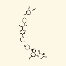 N#Cc1ccc(O[C@H]2CC[C@H](NC(=O)c3cnc(N4CCC(CN5CCC(n6ncc7c(N8CCC(=O)NC8=O)cc(F)cc76)CC5)CC4)cn3)CC2)cc1Cl